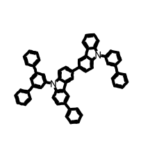 c1ccc(-c2cccc(-n3c4ccccc4c4cc(-c5ccc6c(c5)c5cc(-c7ccccc7)ccc5n6-c5cc(-c6ccccc6)cc(-c6ccccc6)c5)ccc43)c2)cc1